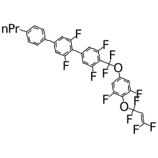 CCCc1ccc(-c2cc(F)c(-c3cc(F)c(C(F)(F)Oc4cc(F)c(OC(F)(F)C=C(F)F)c(F)c4)c(F)c3)c(F)c2)cc1